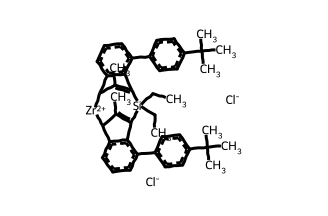 CC[Si]1(CC)C2=C(C)[CH]([Zr+2][CH]3C(C)=C1c1c(-c4ccc(C(C)(C)C)cc4)cccc13)c1cccc(-c3ccc(C(C)(C)C)cc3)c12.[Cl-].[Cl-]